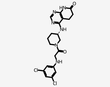 O=C1CCc2c(ncnc2N[C@H]2CCCN(C(=O)CNc3cc(Cl)cc(Cl)c3)C2)N1